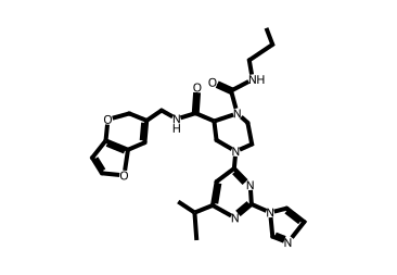 CCCNC(=O)N1CCN(c2cc(C(C)C)nc(-n3ccnc3)n2)CC1C(=O)NCC1=Cc2occc2OC1